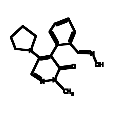 Cn1ncc(N2CCCC2)c(-c2ccccc2C=NO)c1=O